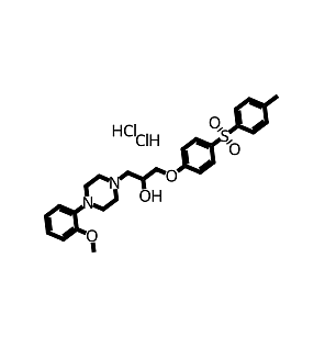 COc1ccccc1N1CCN(CC(O)COc2ccc(S(=O)(=O)c3ccc(C)cc3)cc2)CC1.Cl.Cl